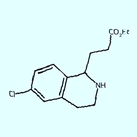 CCOC(=O)CCC1NCCc2cc(Cl)ccc21